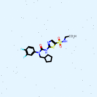 O=C(O)CNS(=O)(=O)c1cnc(NC(=O)N(CC2CCCC2)c2ccc(F)c(F)c2)s1